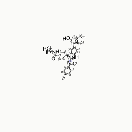 CC(C)NC(=O)[C@H]1CC[C@@H](n2/c(=N/C(=O)c3ccc(F)cc3)[nH]c3ccc(CN4CCCCC4C(=O)O)cc32)CC1.Cl